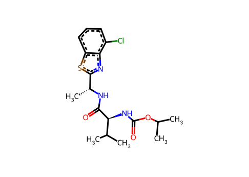 CC(C)OC(=O)N[C@H](C(=O)N[C@H](C)c1nc2c(Cl)cccc2s1)C(C)C